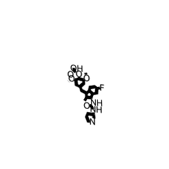 COc1cc(/C=C2/C(C)=C(NC(=O)Nc3cccnc3)c3cc(F)ccc32)cc(OC)c1OC(=O)O